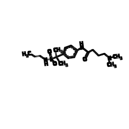 CCCNS(=O)(=O)C(C)(C)c1ccc(NC(=O)CCCN(C)C)cc1